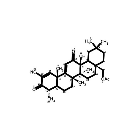 CC(=O)OC[C@]12CCC(C)(C)CC1[C@@]1(O)C(=O)C=C3[C@@]4(C)C=C(C#N)C(=O)[C@@H](C)C4CC[C@@]3(C)[C@]1(C)CC2